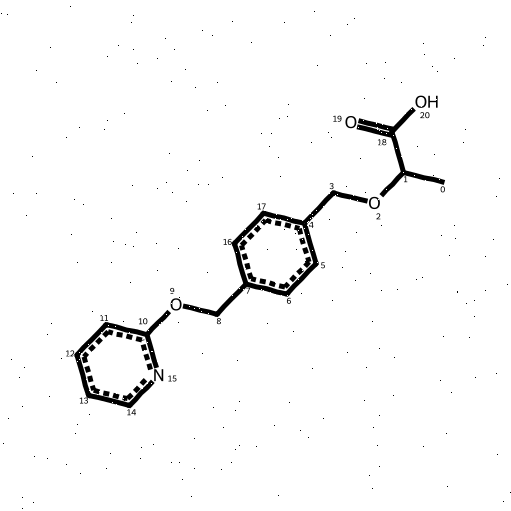 CC(OCc1ccc(COc2ccccn2)cc1)C(=O)O